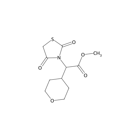 COC(=O)C(C1CCOCC1)N1C(=O)CSC1=O